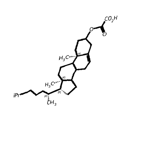 CC(C)CCC[C@@H](C)[C@H]1CCC2C3CC=C4CC(OC(=O)C(=O)O)CC[C@]4(C)C3CC[C@@]21C